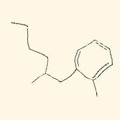 CCCCC(C)Cc1ccccc1I